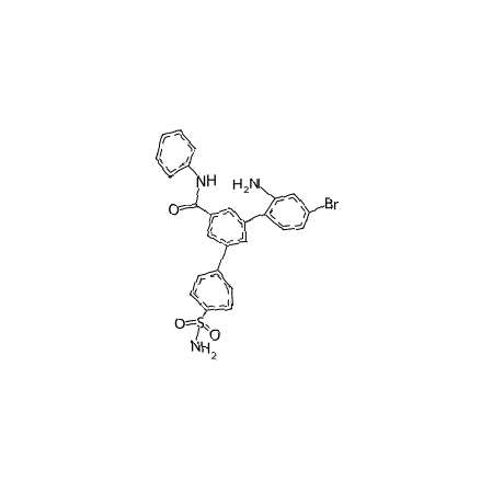 Nc1cc(Br)ccc1-c1cc(C(=O)Nc2ccccc2)cc(-c2ccc(S(N)(=O)=O)cc2)c1